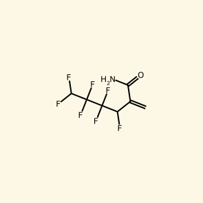 C=C(C(N)=O)C(F)C(F)(F)C(F)(F)C(F)F